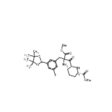 COC(=O)[C@@H]1CCCN(C(=O)C(N)(Cc2cc(F)cc(B3OC(C)(C)C(C)(C)O3)c2)C(=O)OC(C)(C)C)N1